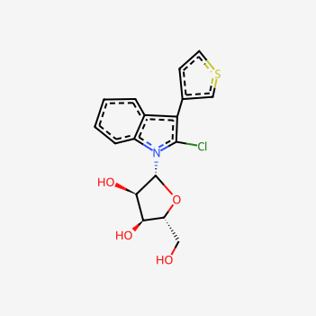 OC[C@H]1O[C@@H](n2c(Cl)c(-c3ccsc3)c3ccccc32)[C@H](O)[C@@H]1O